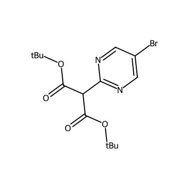 CC(C)(C)OC(=O)C(C(=O)OC(C)(C)C)c1ncc(Br)cn1